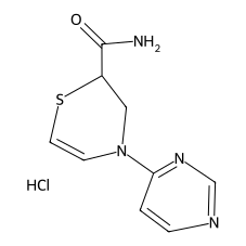 Cl.NC(=O)C1CN(c2ccncn2)C=CS1